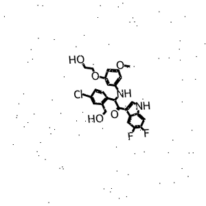 COc1cc(NC(C(=O)c2c[nH]c3cc(F)c(F)cc23)c2ccc(Cl)cc2CO)cc(OCCO)c1